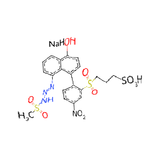 CS(=O)(=O)NN=Nc1cccc2c(O)ccc(-c3ccc([N+](=O)[O-])cc3S(=O)(=O)CCCS(=O)(=O)O)c12.[NaH]